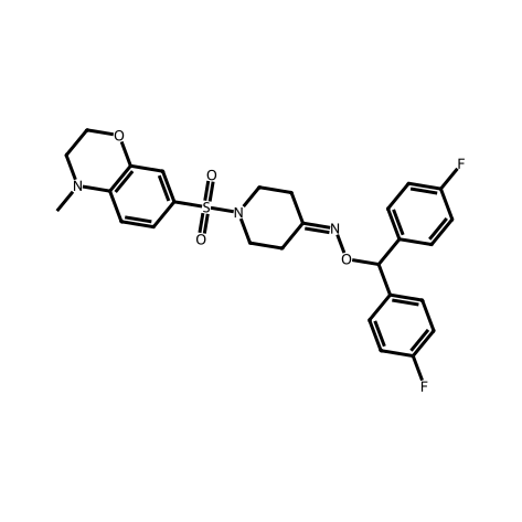 CN1CCOc2cc(S(=O)(=O)N3CCC(=NOC(c4ccc(F)cc4)c4ccc(F)cc4)CC3)ccc21